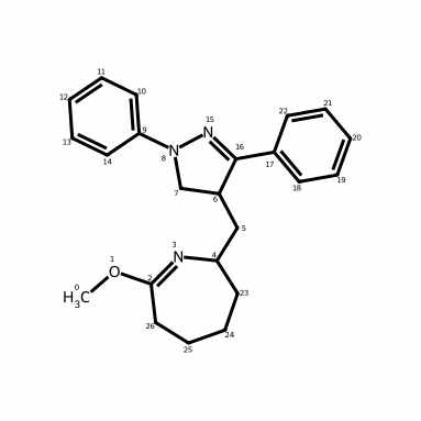 COC1=NC(CC2CN(c3ccccc3)N=C2c2ccccc2)CCCC1